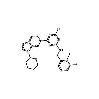 Fc1cccc(CNc2nc(Cl)nc(-c3ccc4cnn(C5CCCCO5)c4c3)n2)c1F